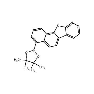 CC1(C)OB(c2cccc3c2ccc2c4cccnc4sc32)OC1(C)C